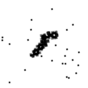 CSc1ccc(-c2ccc(S(=O)(=O)Nc3ccsc3CC(=O)N3CCOCC3)cc2)cc1